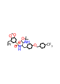 CC(C)Cc1cc(S(=O)(=O)NC(Cc2ccc(OCc3ccc(C(F)(F)F)cc3)cc2)[C@H]2COC(C)(C)N2)cc2c1OCO2